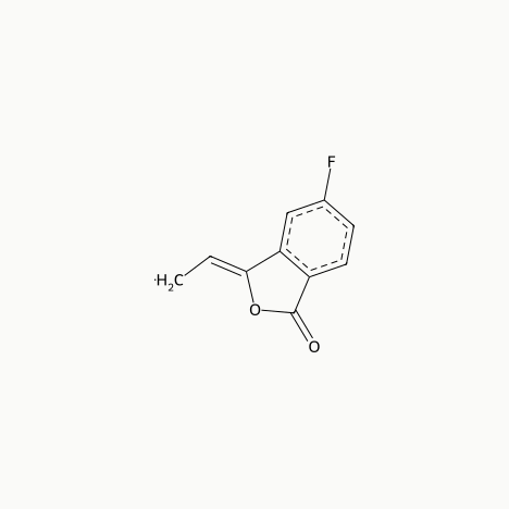 [CH2]C=C1OC(=O)c2ccc(F)cc21